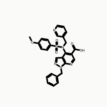 COc1ccc(S(=O)(=O)N(Cc2cccnc2)c2c(C(=O)O)cnc3c2cnn3Cc2ccccc2)cc1